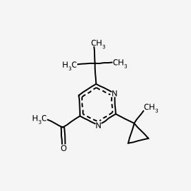 CC(=O)c1cc(C(C)(C)C)nc(C2(C)CC2)n1